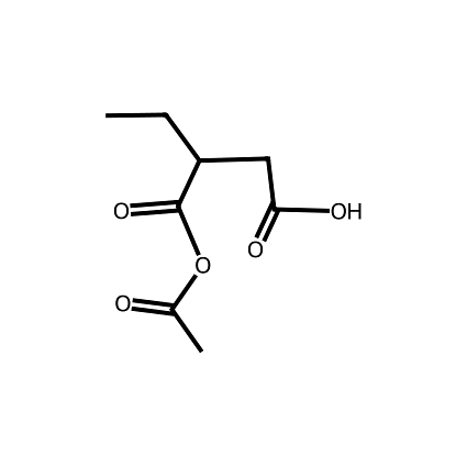 CCC(CC(=O)O)C(=O)OC(C)=O